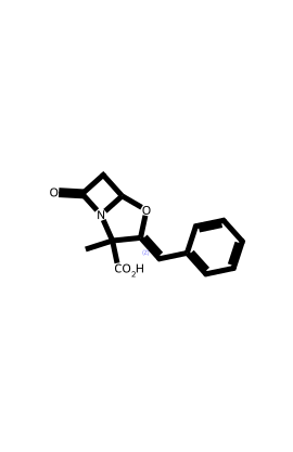 CC1(C(=O)O)/C(=C/c2ccccc2)OC2CC(=O)N21